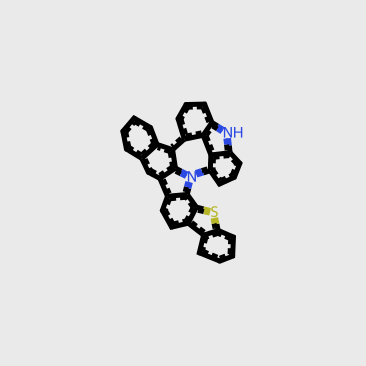 c1ccc2c(c1)cc1c3ccc4c5ccccc5sc4c3n3c4cccc5[nH]c6cccc(c6c54)c2c13